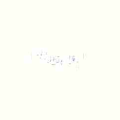 Cc1cn2cc(-c3ccc4nc(N5CCC(NC(C)(C)C)C5)ccc4n3)cc(C)c2n1